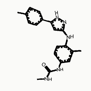 CNC(=O)Nc1ccc(Nc2cc(-c3ccc(C)cc3)[nH]n2)c(C)c1